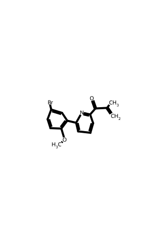 C=C(C)C(=O)c1cccc(-c2cc(Br)ccc2OC)n1